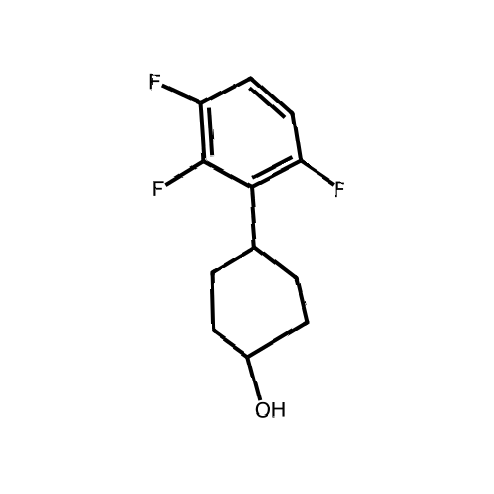 OC1CCC(c2c(F)ccc(F)c2F)CC1